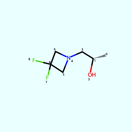 C[C@H](O)CN1CC(F)(F)C1